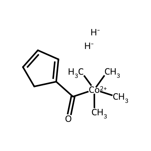 [CH3][Co+2]([CH3])([CH3])([CH3])[C](=O)C1=CC=CC1.[H-].[H-]